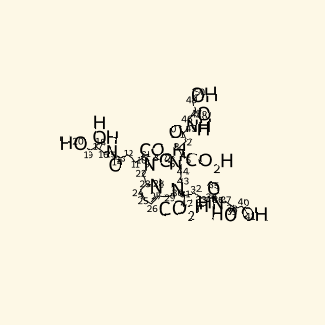 O=C(CCC(C(=O)O)N1CCN(C(CCC(=O)NCC(O)CO)C(=O)O)Cc2cccc(n2)CN(C(CCC(=O)NCC(O)CO)C(=O)O)CC1)NCC(O)CO